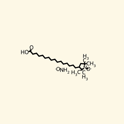 CC1(C)CC(CCCCCCCCCCCCCCCC(=O)O)C(C)(C)N1[O].N[O]